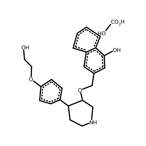 O=C(O)O.OCCOc1ccc(C2CCNCC2OCc2cc(O)c3ccccc3c2)cc1